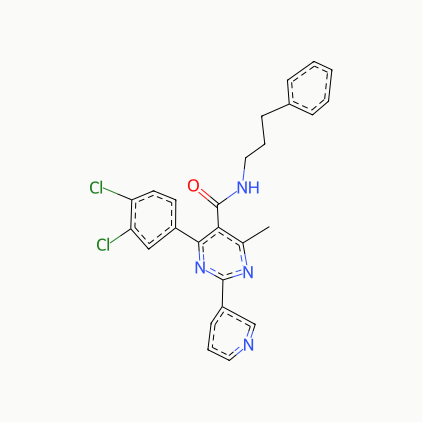 Cc1nc(-c2cccnc2)nc(-c2ccc(Cl)c(Cl)c2)c1C(=O)NCCCc1ccccc1